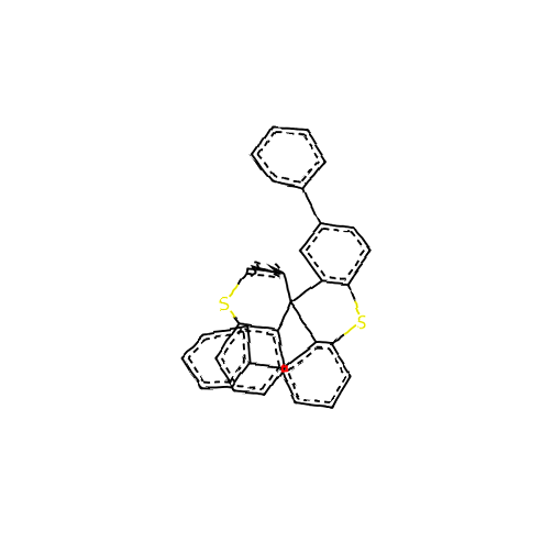 c1ccc(-c2ccc3c(c2)C2(c4ccccc4Sc4ccccc42)c2c(cccc2-c2ccccc2)S3)cc1